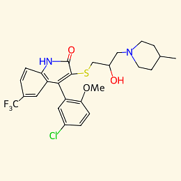 COc1ccc(Cl)cc1-c1c(SCC(O)CN2CCC(C)CC2)c(=O)[nH]c2ccc(C(F)(F)F)cc12